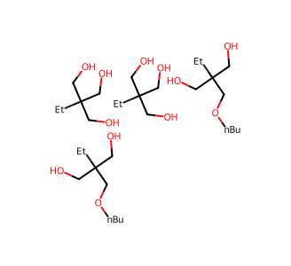 CCC(CO)(CO)CO.CCC(CO)(CO)CO.CCCCOCC(CC)(CO)CO.CCCCOCC(CC)(CO)CO